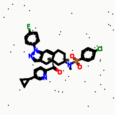 CN([C@H]1CCC2=Cc3c(cnn3-c3ccc(F)cc3)C[C@]2(C(=O)c2ccc(C3CC3)cn2)C1)S(=O)(=O)c1ccc(Cl)cc1